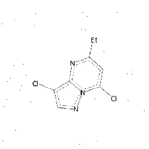 CCc1cc(Cl)n2ncc(Cl)c2n1